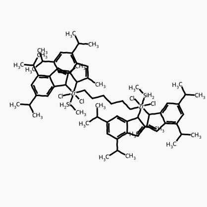 C[SiH2][Zr]([Cl])([Cl])([CH2]CCCC[CH2][Zr]([Cl])([Cl])([SiH2]C)([CH]1C(C)=Cc2c(C(C)C)cc(C(C)C)cc21)[CH]1C(C)=Cc2c(C(C)C)cc(C(C)C)cc21)([CH]1C(C)=Cc2c(C(C)C)cc(C(C)C)cc21)[CH]1C(C)=Cc2c(C(C)C)cc(C(C)C)cc21